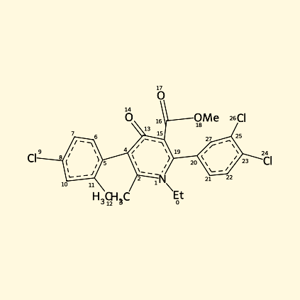 CCn1c(C)c(-c2ccc(Cl)cc2C)c(=O)c(C(=O)OC)c1-c1ccc(Cl)c(Cl)c1